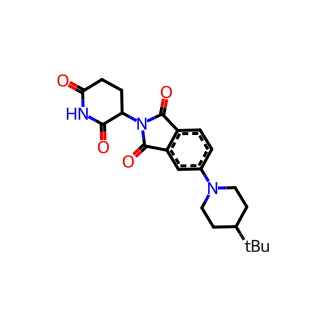 CC(C)(C)C1CCN(c2ccc3c(c2)C(=O)N(C2CCC(=O)NC2=O)C3=O)CC1